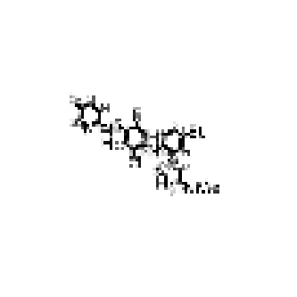 CCc1ccc(Nc2cc(F)c(SNc3ccc(F)cn3)cc2Cl)c(N(C)CCNC)c1